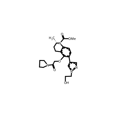 COC(=O)N1c2ccc(-c3cnn(CCO)c3)c(OCC(=O)N3CCCC3)c2CC[C@@H]1C